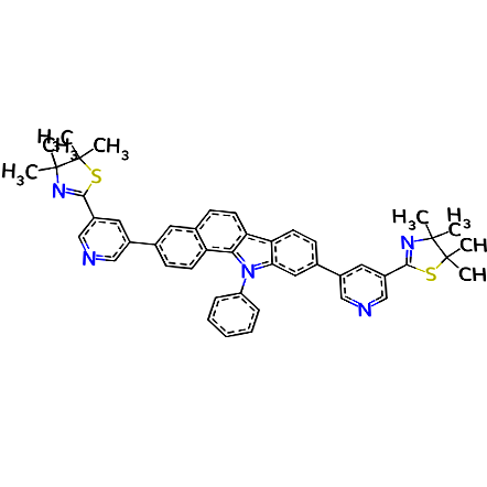 CC1(C)N=C(c2cncc(-c3ccc4c(ccc5c6ccc(-c7cncc(C8=NC(C)(C)C(C)(C)S8)c7)cc6n(-c6ccccc6)c45)c3)c2)SC1(C)C